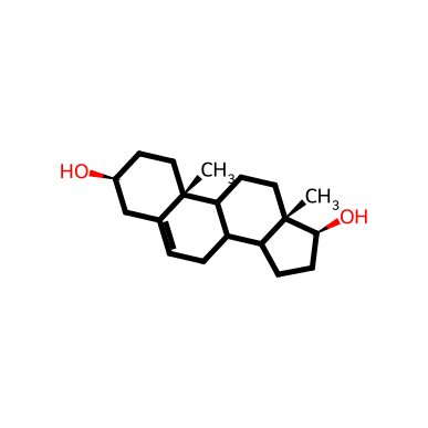 C[C@]12CC[C@H](O)CC1=CCC1C2CC[C@@]2(C)C1CC[C@@H]2O